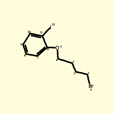 BrCCCCOc1ccccc1I